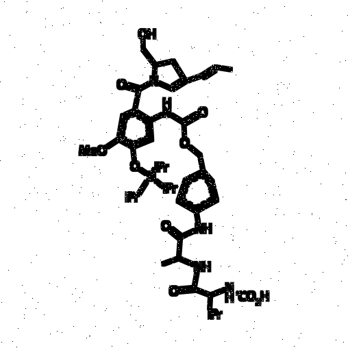 CC=CC1=CN(C(=O)c2cc(OC)c(O[Si](C(C)C)(C(C)C)C(C)C)cc2NC(=O)OCc2ccc(NC(=O)C(C)NC(=O)C(NC(=O)O)C(C)C)cc2)C(CO)C1